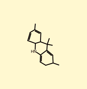 CC1=CC2C(C=C1)NC1=CCC(C)C=C1C2(C)C